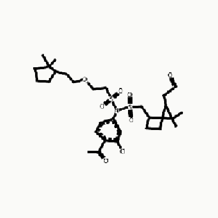 CC(=O)c1ccc(N(S(=O)(=O)CCOCCC2CCCC2(C)C)S(=O)(=O)CC2CCC23C(CC=O)C3(C)C)cc1Cl